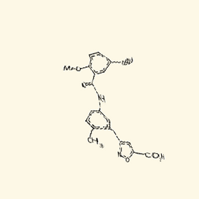 COc1ccc(C(C)(C)C)cc1C(=O)Nc1ccc(C)c(-c2cc(C(=O)O)on2)c1